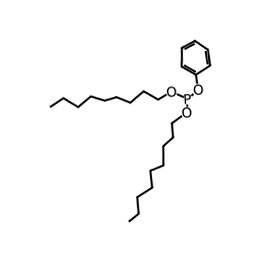 CCCCCCCCCOP(OCCCCCCCCC)Oc1ccccc1